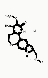 CCNCc1cc2cc3c(cc2n1C)NCCc1c-3[nH]c(=O)c(OC(=O)O)c1O.Cl